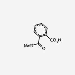 CNC(=O)c1ccccc1C(=O)O